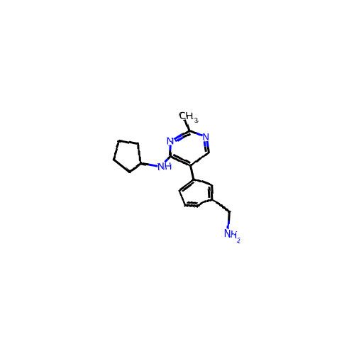 Cc1ncc(-c2cccc(CN)c2)c(NC2CCCC2)n1